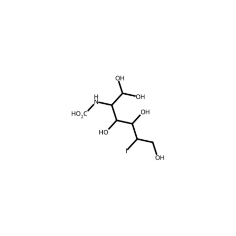 O=C(O)NC(C(O)O)C(O)C(O)C(I)CO